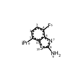 CC(C)c1ccc(F)c2nc(N)sc12